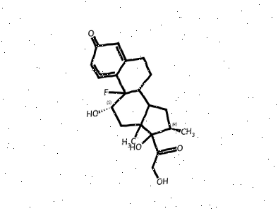 C[C@@H]1CC2C3CCC4=CC(=O)C=C=C4C3(F)[C@@H](O)CC2(C)C1(O)C(=O)CO